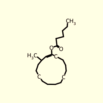 CCCCCC(=O)O/C1=C/C(C)CCCCCCCCCCCC1